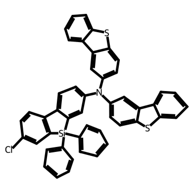 Clc1ccc2c(c1)[Si](c1ccccc1)(c1ccccc1)c1cc(N(c3ccc4sc5ccccc5c4c3)c3ccc4sc5ccccc5c4c3)ccc1-2